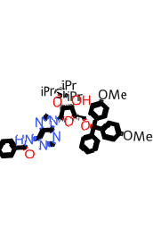 COc1ccc(C(OC[C@H]2O[C@@H](n3cnc4c(NC(=O)c5ccccc5)ncnc43)[C@H](O[Si](C(C)C)(C(C)C)C(C)C)[C@H]2O)(c2ccccc2)c2ccc(OC)cc2)cc1